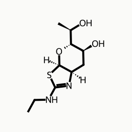 CCNC1=N[C@@H]2C[C@H](O)[C@@H]([C@@H](C)O)O[C@@H]2S1